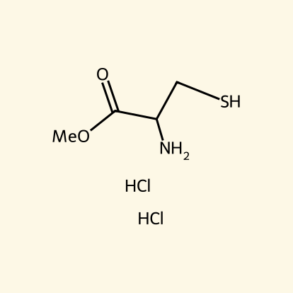 COC(=O)C(N)CS.Cl.Cl